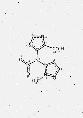 Cn1nccc1N(c1scnc1C(=O)O)[SH](=O)=O